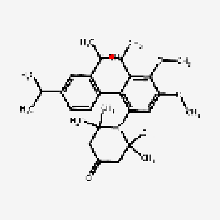 COc1cc(P2C(C)(C)CC(=O)CC2(C)C)c(-c2ccc(C(C)C)cc2C(C)C)c(C(C)C)c1OC